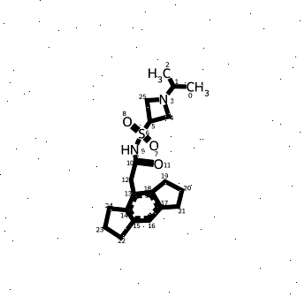 CC(C)N1CC(S(=O)(=O)NC(=O)Cc2c3c(cc4c2CCC4)CCC3)C1